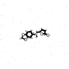 CN(CC1C=CC(=O)O1)c1ccc2c(c1)OCO2